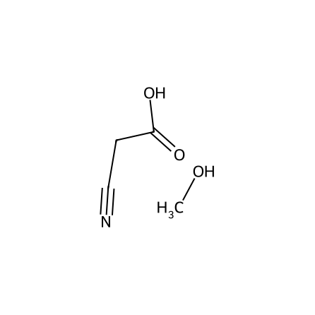 CO.N#CCC(=O)O